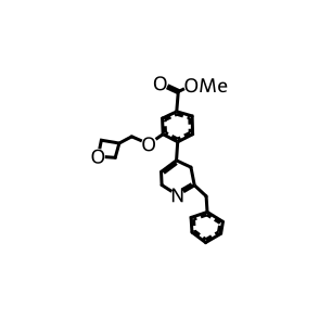 COC(=O)c1ccc(C2=CCN=C(Cc3ccccc3)C2)c(OCC2COC2)c1